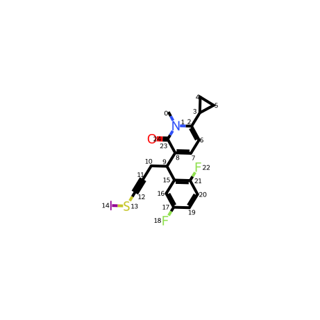 Cn1c(C2CC2)ccc(C(CC#CSI)c2cc(F)ccc2F)c1=O